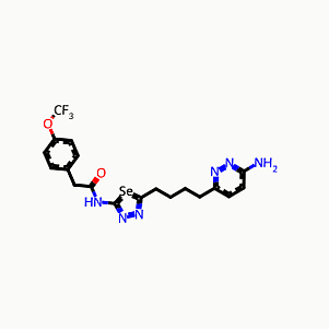 Nc1ccc(CCCCc2nnc(NC(=O)Cc3ccc(OC(F)(F)F)cc3)[se]2)nn1